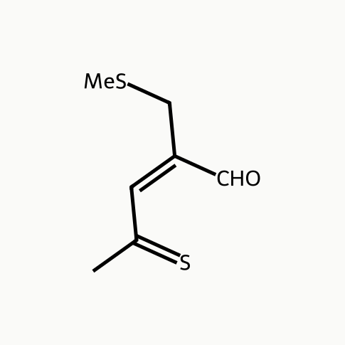 CSCC(C=O)=CC(C)=S